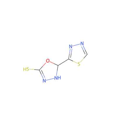 SC1=NNC(c2nncs2)O1